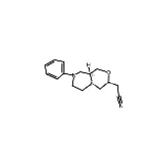 N#CCC1CN2CCN(c3ccccc3)C[C@@H]2CO1